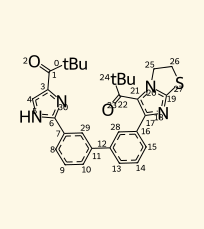 CC(C)(C)C(=O)c1c[nH]c(-c2cccc(-c3cccc(-c4nc5n(c4C(=O)C(C)(C)C)CCS5)c3)c2)n1